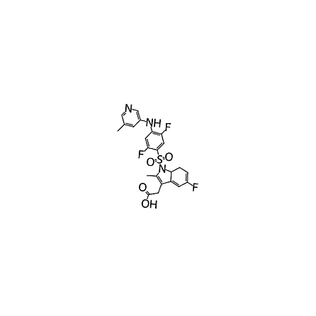 CC1=C(CC(=O)O)C2=CC(F)=CCC2N1S(=O)(=O)c1cc(F)c(Nc2cncc(C)c2)cc1F